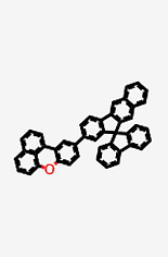 c1ccc2c(c1)-c1ccccc1C21c2cc(-c3ccc4c(c3)-c3cccc5cccc(c35)O4)ccc2-c2cc3ccccc3cc21